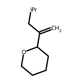 C=C(CC(C)C)C1CCCCO1